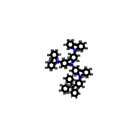 c1ccc([Si](c2ccccc2)(c2ccccc2)c2cccc(-n3c4ccccc4c4cc(-n5c6ccc(-n7c8ccccc8c8ccccc87)cc6c6cc(-n7c8ccccc8c8ccccc87)ccc65)ccc43)c2)cc1